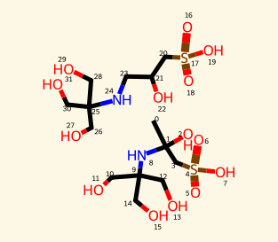 CC(O)(CS(=O)(=O)O)NC(CO)(CO)CO.O=S(=O)(O)CC(O)CNC(CO)(CO)CO